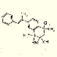 CCCCC1(O)CC(C)(C)c2ccc(C(C)=Cc3ccccc3)cc2C1(C)C